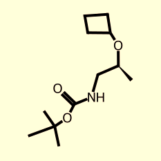 C[C@@H](CNC(=O)OC(C)(C)C)OC1CCC1